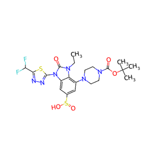 CCn1c(=O)n(-c2nnc(C(F)F)s2)c2cc(S(=O)O)cc(N3CCN(C(=O)OC(C)(C)C)CC3)c21